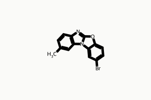 Cc1ccc2nc3oc4ccc(Br)cc4n3c2c1